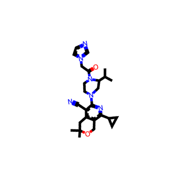 CC(C)C1CN(c2nc(C3CC3)c3c(c2C#N)CC(C)(C)OC3)CCN1C(=O)Cn1ccnc1